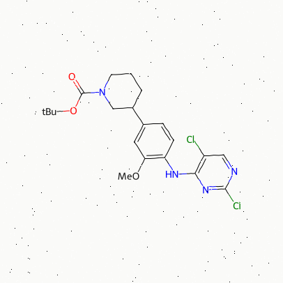 COc1cc(C2CCCN(C(=O)OC(C)(C)C)C2)ccc1Nc1nc(Cl)ncc1Cl